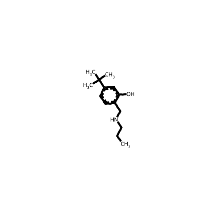 CCCNCc1ccc(C(C)(C)C)cc1O